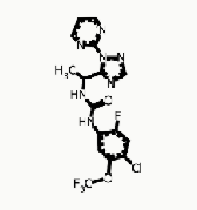 CC(NC(=O)Nc1cc(OC(F)(F)F)c(Cl)cc1F)c1ncnn1-c1ncccn1